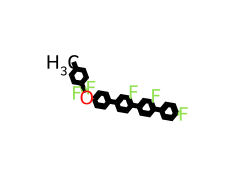 CC1CCC(C(F)(F)Oc2ccc(-c3ccc(-c4ccc(-c5ccc(F)cc5)c(F)c4)c(F)c3)cc2)CC1